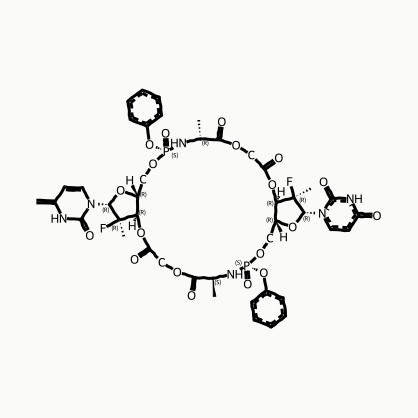 C=C1C=CN([C@@H]2O[C@@H]3CO[P@](=O)(Oc4ccccc4)N[C@H](C)C(=O)OCC(=O)O[C@@H]4[C@@H](CO[P@](=O)(Oc5ccccc5)N[C@@H](C)C(=O)OCC(=O)O[C@H]3[C@@]2(C)F)O[C@@H](n2ccc(=O)[nH]c2=O)[C@]4(C)F)C(=O)N1